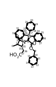 CC1C(=O)N(C(C(=O)OCc2ccccc2)=P(c2ccccc2)(c2ccccc2)c2ccccc2)[C@H]1CC(=O)O